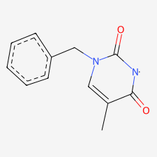 CC1=CN(Cc2ccccc2)C(=O)[N]C1=O